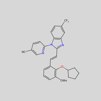 COc1cccc(C=Cc2nc3cc(C(F)(F)F)ccc3n2-c2ccc(C#N)cn2)c1OC1CCCC1